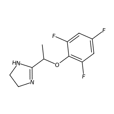 CC(Oc1c(F)cc(F)cc1F)C1=NCCN1